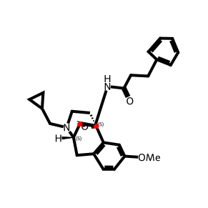 COc1ccc2c(c1)[C@@]13CCN(CC4CC4)[C@@H](C2)C1OCC(NC(=O)CCc1ccccc1)C3